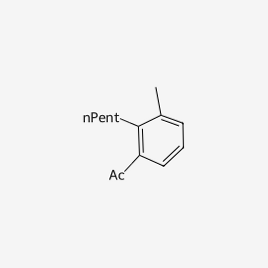 C[CH]CCCc1c(C)cccc1C(C)=O